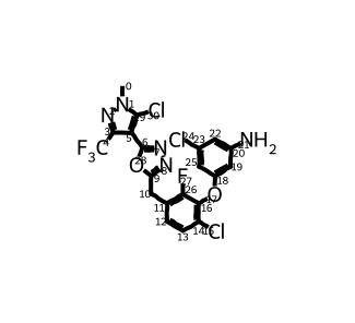 Cn1nc(C(F)(F)F)c(-c2nnc(Cc3ccc(Cl)c(Oc4cc(N)cc(Cl)c4)c3F)o2)c1Cl